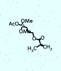 C=C(C)C(=O)OCCC[Si](OC)(OC)OC(C)=O